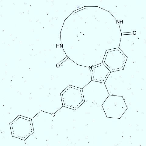 O=C1Cn2c(-c3ccc(OCc4ccccc4)cc3)c(C3CCCCC3)c3ccc(cc32)C(=O)NCC/C=C\CCN1